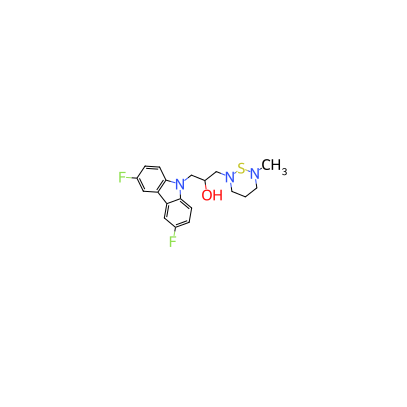 CN1CCCN(CC(O)Cn2c3ccc(F)cc3c3cc(F)ccc32)S1